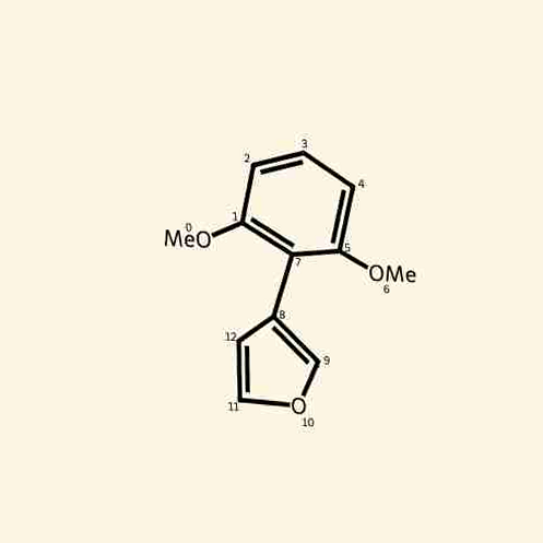 COc1cccc(OC)c1-c1[c]occ1